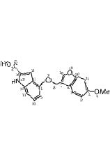 COc1ccc2c(COc3cccc4[nH]c(C(=O)O)cc34)coc2c1